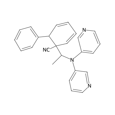 CC(N(c1cccnc1)c1cccnc1)C1(C#N)C=CC=CC1c1ccccc1